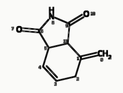 C=C1CC=CC2C(=O)NC(=O)C12